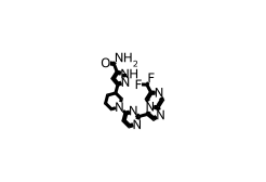 NC(=O)c1cc(C2CCCN(c3ccnc(-c4cnc5cnc(C(F)F)cn45)n3)C2)n[nH]1